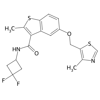 Cc1ncsc1COc1ccc2sc(C)c(C(=O)NC3CC(F)(F)C3)c2c1